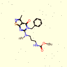 CCCN(CCCNC(=O)OC(C)(C)C)c1nc2snc(C)c2c(=O)n1Cc1ccccc1